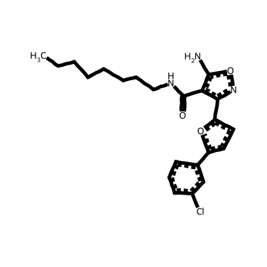 CCCCCCCCNC(=O)c1c(-c2ccc(-c3cccc(Cl)c3)o2)noc1N